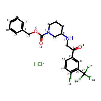 Cl.O=C(CNC1CCCN(C(=O)OCc2ccccc2)C1)c1ccc(F)c(C(F)(F)F)c1